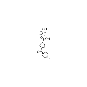 CN1CCN(C(=O)c2ccc(B(O)OC(C)(C)C(C)(C)O)cc2)CC1